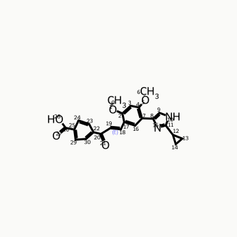 COc1cc(OC)c(-c2c[nH]c(C3CC3)n2)cc1/C=C/C(=O)c1ccc(C(=O)O)cc1